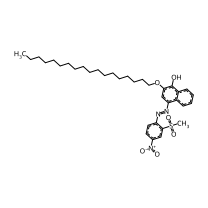 CCCCCCCCCCCCCCCCCCOc1cc(N=Nc2ccc([N+](=O)[O-])cc2S(C)(=O)=O)c2ccccc2c1O